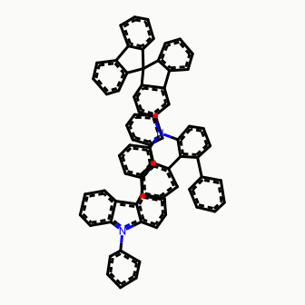 c1ccc(-c2ccccc2-c2c(-c3ccccc3)cccc2N(c2cccc(-c3cccc4c3c3ccccc3n4-c3ccccc3)c2)c2ccc3c(c2)-c2ccccc2C32c3ccccc3-c3ccccc32)cc1